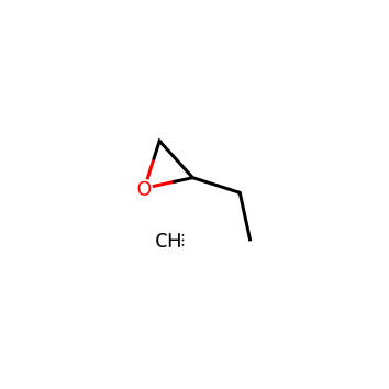 CCC1CO1.[CH]